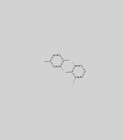 Cc1ccc2c(c1)Oc1c(cccc1C(C)(C)C)O2